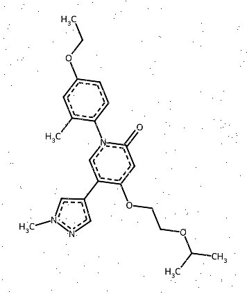 CCOc1ccc(-n2cc(-c3cnn(C)c3)c(OCCOC(C)C)cc2=O)c(C)c1